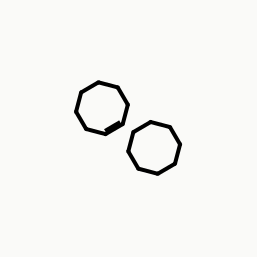 C1=CCCCCCC1.C1CCCCCCC1